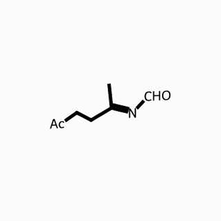 CC(=O)CC/C(C)=N/C=O